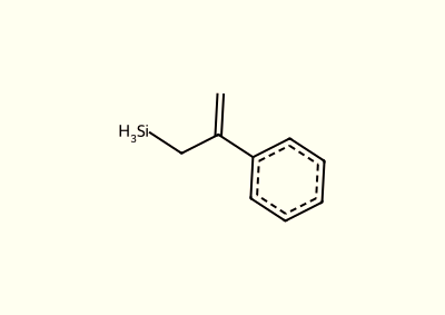 C=C(C[SiH3])c1ccccc1